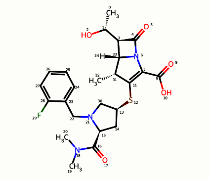 C[C@@H](O)[C@H]1C(=O)N2C(C(=O)O)=C(S[C@H]3C[C@@H](C(=O)N(C)C)N(Cc4ccccc4F)C3)[C@H](C)[C@H]12